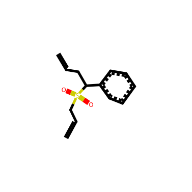 C=CCC(c1ccccc1)S(=O)(=O)CC=C